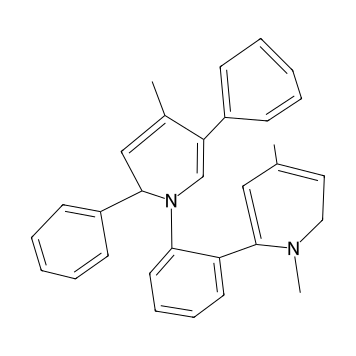 CC1=CCN(C)C(c2ccccc2N2C=C(c3ccccc3)C(C)=CC2c2ccccc2)=C1